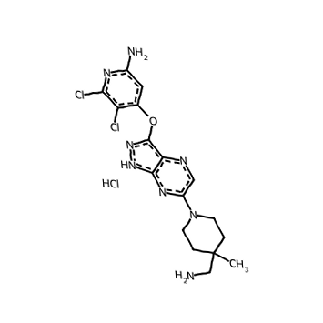 CC1(CN)CCN(c2cnc3c(Oc4cc(N)nc(Cl)c4Cl)n[nH]c3n2)CC1.Cl